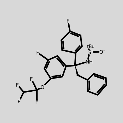 CC(C)(C)[S+]([O-])N[C@@](Cc1ccccc1)(c1ccc(F)cc1)c1cc(F)cc(OC(F)(F)C(F)F)c1